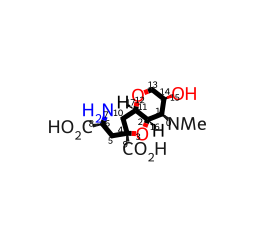 CN[C@H]1[C@H]2O[C@@](C[C@H](N)C(=O)O)(C(=O)O)C[C@H]2OC[C@H]1O